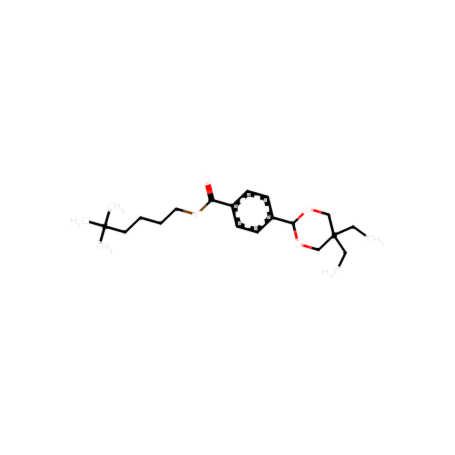 CCC1(CC)COC(c2ccc(C(=O)SCCCCC(C)(C)C)cc2)OC1